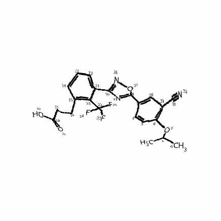 CC(C)Oc1ccc(-c2nc(-c3cccc(CCC(=O)O)c3C(F)(F)F)no2)cc1C#N